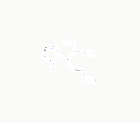 CCCCC=CC(c1ncc[nH]1)C(O)C(C)(C)C